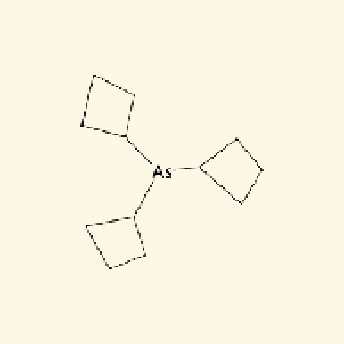 C1CC([As](C2CCC2)C2CCC2)C1